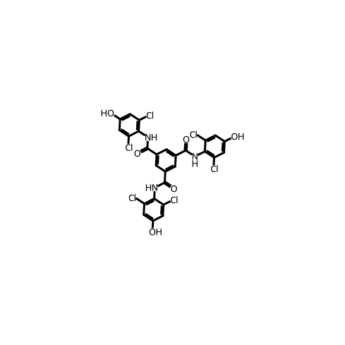 O=C(Nc1c(Cl)cc(O)cc1Cl)c1cc(C(=O)Nc2c(Cl)cc(O)cc2Cl)cc(C(=O)Nc2c(Cl)cc(O)cc2Cl)c1